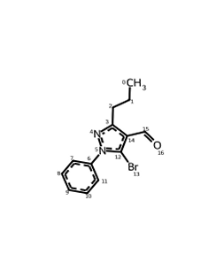 CCCc1nn(-c2ccccc2)c(Br)c1C=O